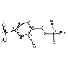 O=C(Cl)c1ccc(CCC(F)(F)F)c(Cl)c1